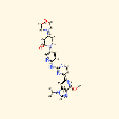 COc1nc(-c2ccnc(Nc3ccc(N4CCC(N5CCOCC5)CC4=O)cn3)n2)cc2c1ncn2C(C)C